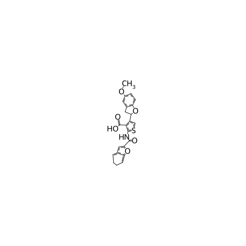 COc1ccc2c(c1)CC(c1csc(NC(=O)c3cc4c(o3)=CCCC=4)c1C(=O)O)O2